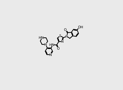 O=C(Nc1cnccc1N1CCNCC1)c1csc(N2Cc3ccc(O)cc3C2=O)n1